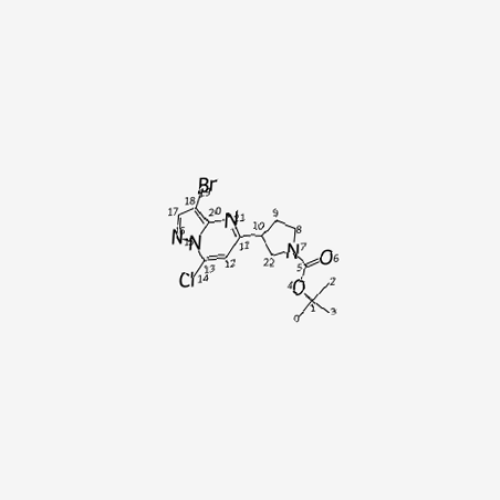 CC(C)(C)OC(=O)N1CCC(c2cc(Cl)n3ncc(Br)c3n2)C1